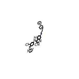 Cn1ccnc1Sc1ccc(Nc2c(C#N)cnc3cc(/C=C/CN4CCC(N5CCCC5)CC4)ccc23)cc1Cl